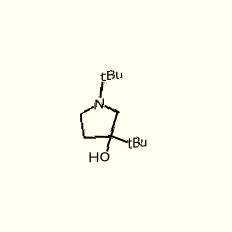 CC(C)(C)N1CCC(O)(C(C)(C)C)C1